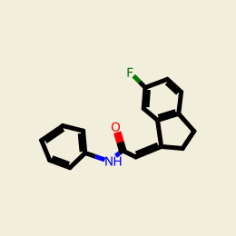 O=C(/C=C1/CCc2ccc(F)cc21)Nc1ccccc1